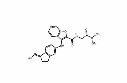 CN(C)C(=O)CNC(=O)c1oc2cnccc2c1Nc1ccc2c(c1)CCC2=NO